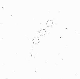 CCc1cc(-c2cc(C)c(-c3ccc(O)cc3)cc2C)ccc1OCC=C(C)C